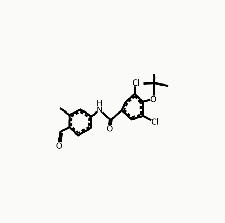 Cc1cc(NC(=O)c2cc(Cl)c(OC(C)(C)C)c(Cl)c2)ccc1C=O